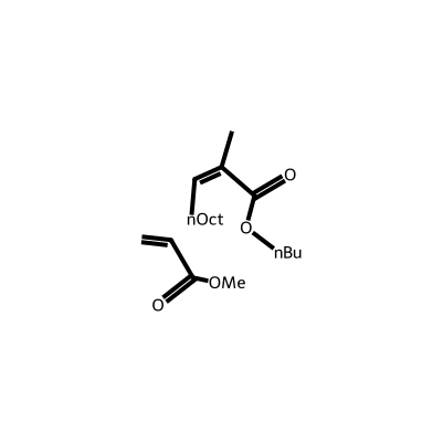 C=CC(=O)OC.CCCCCCCCC=C(C)C(=O)OCCCC